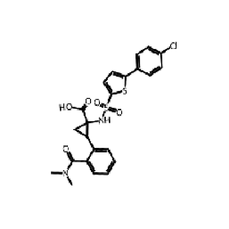 CN(C)C(=O)c1ccccc1C1CC1(NS(=O)(=O)c1ccc(-c2ccc(Cl)cc2)s1)C(=O)O